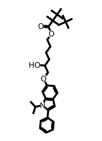 CC(C)n1c(-c2ccccc2)cc2ccc(OCC(O)CCCCOC(=O)C(C)(CC(C)(C)C)C(C)(C)C)cc21